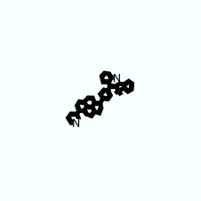 CC1(C)c2ccccc2-c2nc3ccccc3c(-c3ccc(-c4ccc5ccc6c(-c7cccnc7)ccc7ccc4c5c76)cc3)c21